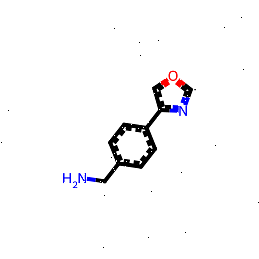 NCc1ccc(-c2co[c]n2)cc1